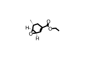 CCOC(=O)C1=C[C@H]2O[C@H]2[C@H](C)C1